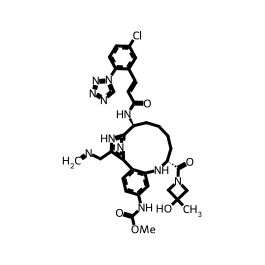 C=NCc1[nH]c2nc1-c1ccc(NC(=O)OC)cc1N[C@@H](C(=O)N1CC(C)(O)C1)CCCC[C@@H]2NC(=O)/C=C/c1cc(Cl)ccc1-n1cnnn1